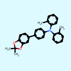 Cc1ccccc1N(c1ccc(-c2ccc3c(c2)OC(C)(C)O3)cc1)c1ccccc1C